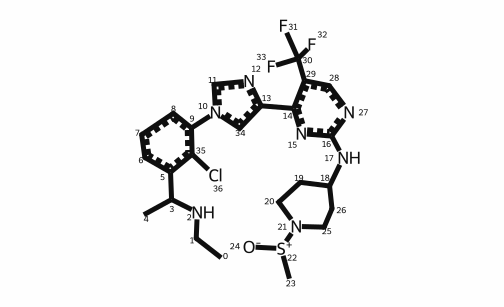 CCNC(C)c1cccc(-n2cnc(-c3nc(NC4CCN([S+](C)[O-])CC4)ncc3C(F)(F)F)c2)c1Cl